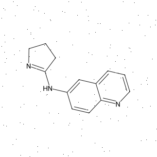 c1cnc2ccc(NC3=NCCC3)cc2c1